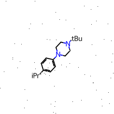 CC(C)c1ccc(N2CCN(C(C)(C)C)CC2)cc1